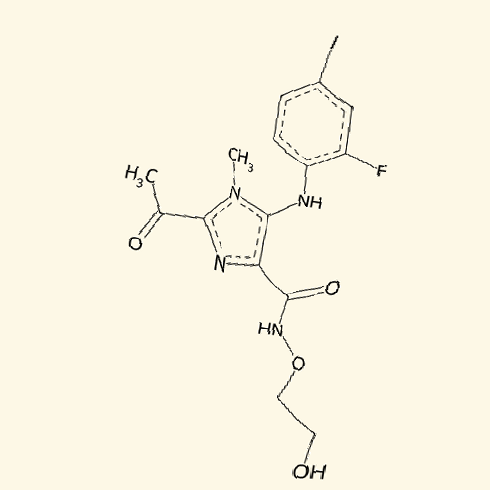 CC(=O)c1nc(C(=O)NOCCO)c(Nc2ccc(I)cc2F)n1C